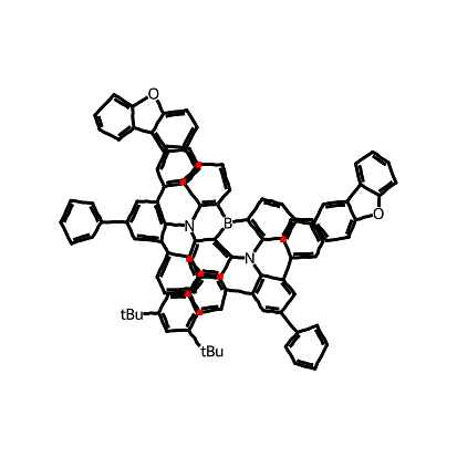 CC(C)(C)c1cc(-c2cc3c4c(c2)N(c2c(-c5ccccc5)cc(-c5ccccc5)cc2-c2ccccc2)c2cc(-c5ccc6oc7ccccc7c6c5)ccc2B4c2ccc(-c4ccc5oc6ccccc6c5c4)cc2N3c2c(-c3ccccc3)cc(-c3ccccc3)cc2-c2ccccc2)cc(C(C)(C)C)c1